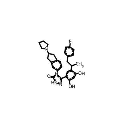 CC(Cc1ccc(F)cc1)c1cc(-c2n[nH]c(=O)n2-c2ccc3c(c2)CC(N2CCCC2)C3)c(O)cc1O